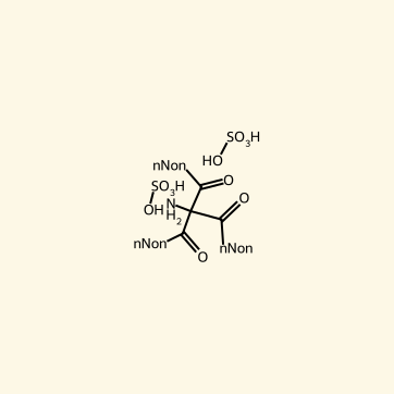 CCCCCCCCCC(=O)C(N)(C(=O)CCCCCCCCC)C(=O)CCCCCCCCC.O=S(=O)(O)O.O=S(=O)(O)O